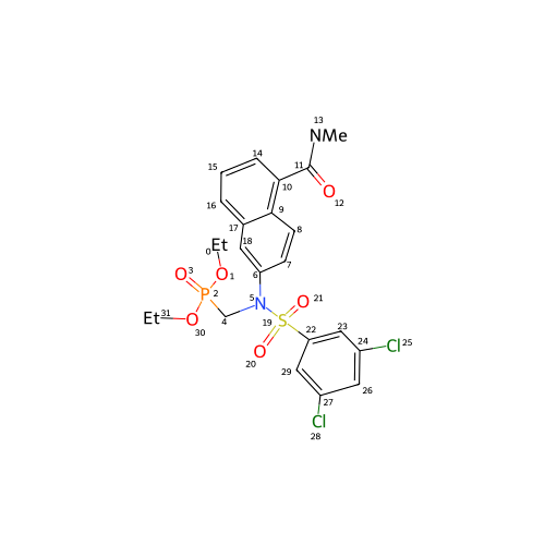 CCOP(=O)(CN(c1ccc2c(C(=O)NC)cccc2c1)S(=O)(=O)c1cc(Cl)cc(Cl)c1)OCC